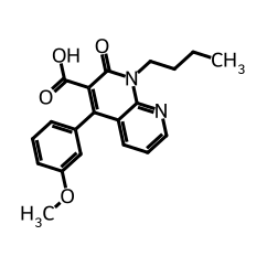 CCCCn1c(=O)c(C(=O)O)c(-c2cccc(OC)c2)c2cccnc21